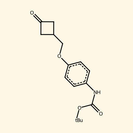 CC(C)(C)OC(=O)Nc1ccc(OCC2CC(=O)C2)cc1